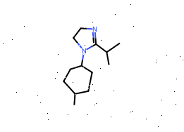 CC1CCC(N2CCN=C2C(C)C)CC1